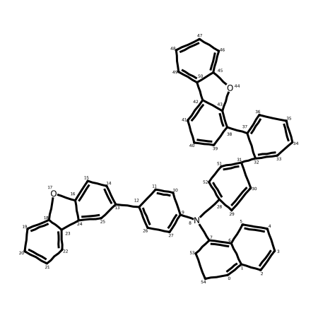 C1=c2ccccc2=C(N(c2ccc(-c3ccc4oc5ccccc5c4c3)cc2)c2ccc(-c3ccccc3-c3cccc4c3oc3ccccc34)cc2)CC1